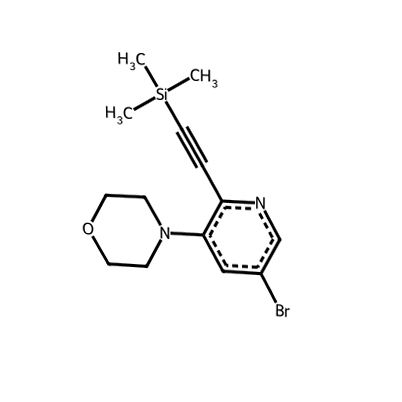 C[Si](C)(C)C#Cc1ncc(Br)cc1N1CCOCC1